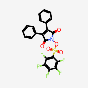 O=C1C(c2ccccc2)=C(c2ccccc2)C(=O)N1OS(=O)(=O)c1c(F)c(F)c(F)c(F)c1F